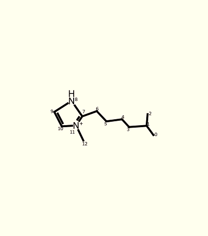 CC(C)CCCCc1[nH]cc[n+]1C